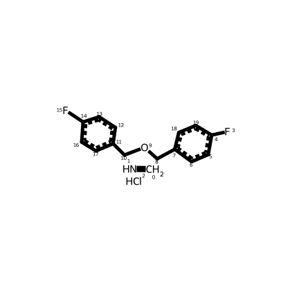 C=N.Cl.Fc1ccc(COCc2ccc(F)cc2)cc1